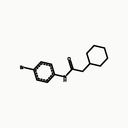 O=C(CC1CCCCC1)Nc1ccc(Br)cc1